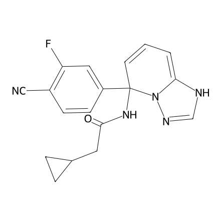 N#Cc1ccc(C2(NC(=O)CC3CC3)C=CC=C3NC=NN32)cc1F